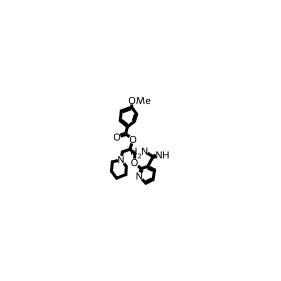 COc1ccc(C(=O)OC(COc2ncccc2C(=N)N)CN2CCCCC2)cc1